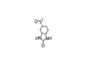 C[S+]([O-])c1ccc2[nH]c(=O)[nH]c2c1